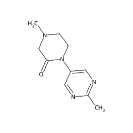 Cc1ncc(N2CCN(C)CC2=O)cn1